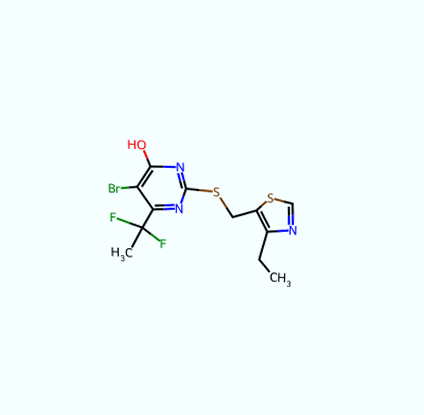 CCc1ncsc1CSc1nc(O)c(Br)c(C(C)(F)F)n1